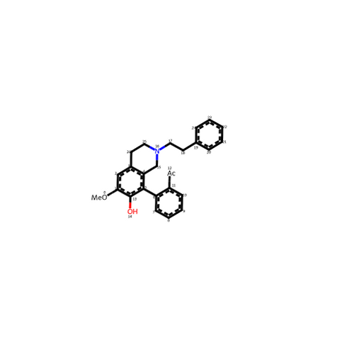 COc1cc2c(c(-c3ccccc3C(C)=O)c1O)CN(CCc1ccccc1)CC2